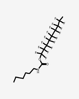 CCCCCCNC(=O)OC(F)(F)C(F)(F)C(F)(F)C(F)(F)C(F)(F)C(F)(F)C(F)(F)C(C)(F)F